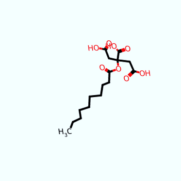 CCCCCCCCCC(=O)OC(CC(=O)O)(CC(=O)O)C(=O)O